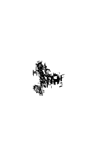 C[C@@H](c1ccc(F)cc1)C1(N)N=C(Nc2cnccn2)C=C(NCC2CCCO2)N1